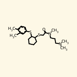 Cc1ccc(SC2CCCCC2SCC(=O)N(C)CCCN(C)C)cc1C